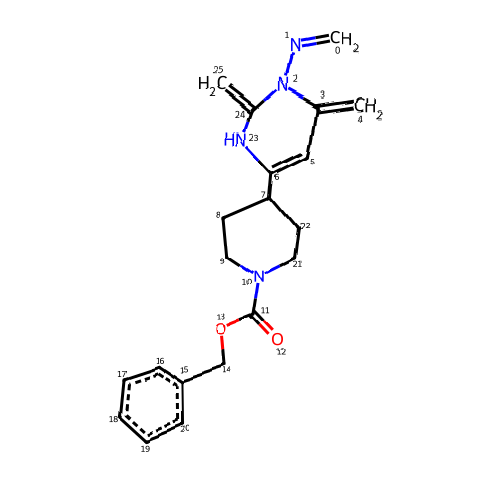 C=NN1C(=C)C=C(C2CCN(C(=O)OCc3ccccc3)CC2)NC1=C